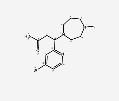 CN1CCCN(C(CC(N)=O)c2cc(Br)ccn2)CC1